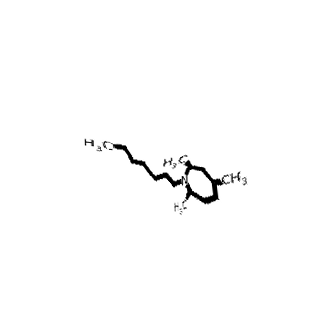 CCCCCCCN1C(C)CCC(C)CC1C